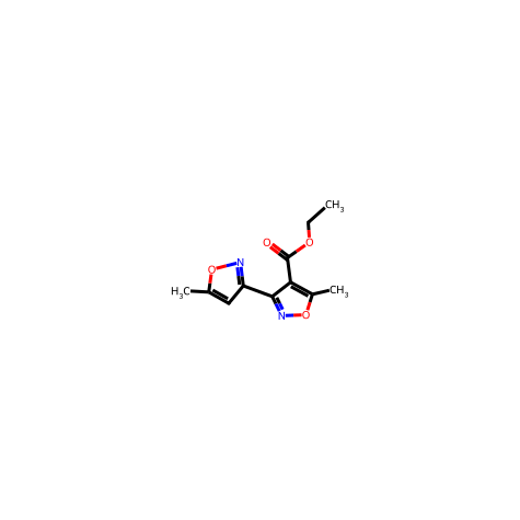 CCOC(=O)c1c(-c2cc(C)on2)noc1C